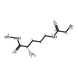 CCCNC(=O)[C@@H](C)CCCNC(=O)CBr